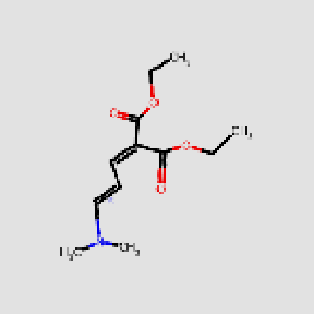 CCOC(=O)C(=C/C=C/N(C)C)C(=O)OCC